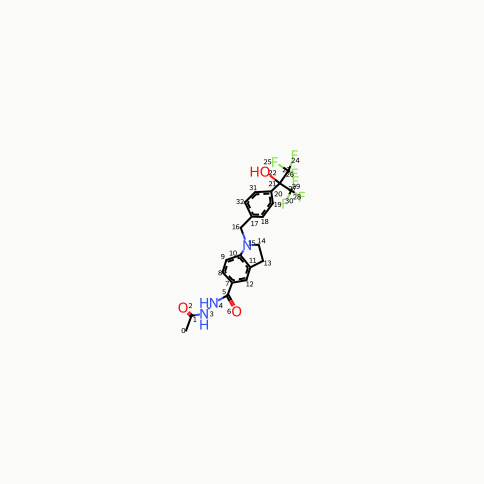 CC(=O)NNC(=O)c1ccc2c(c1)CCN2Cc1ccc(C(O)(C(F)(F)F)C(F)(F)F)cc1